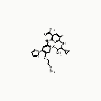 COCCOc1ncc(Nc2nc(NC(C3CC3)[C@H](C)N)c(F)cc2C(N)=O)cc1-n1nccn1